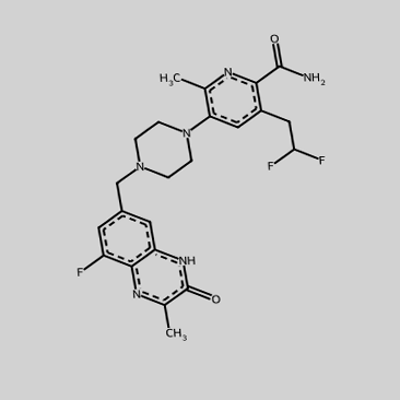 Cc1nc(C(N)=O)c(CC(F)F)cc1N1CCN(Cc2cc(F)c3nc(C)c(=O)[nH]c3c2)CC1